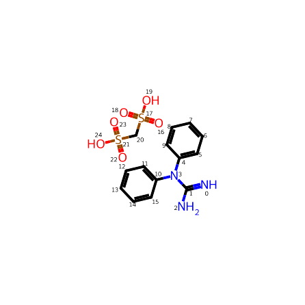 N=C(N)N(c1ccccc1)c1ccccc1.O=S(=O)(O)CS(=O)(=O)O